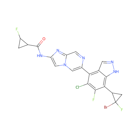 O=C(Nc1cn2cc(-c3c(Cl)c(F)c(C4CC4(F)Br)c4[nH]ncc34)ncc2n1)C1CC1F